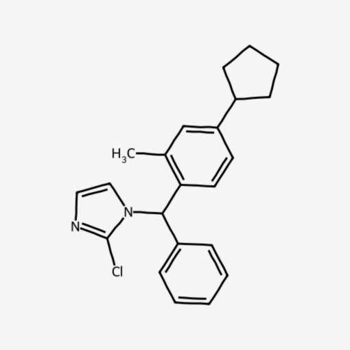 Cc1cc(C2CCCC2)ccc1C(c1ccccc1)n1ccnc1Cl